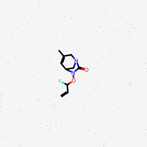 C=CC(F)ON1C(=O)N2CC(C)=CC1C2